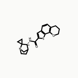 O=C(N[C@@H]1C2CCN(C2)C12CC2)c1cc2ccc3c(c2s1)OCCC3